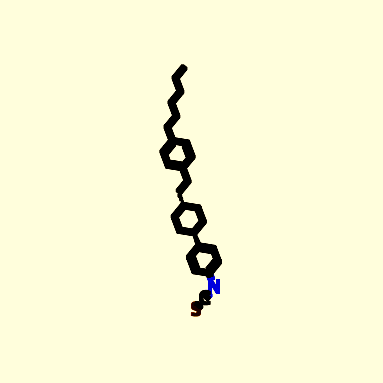 CCCCCCc1ccc(CC[C@H]2CC[C@H](c3ccc(N=C=S)cc3)CC2)cc1